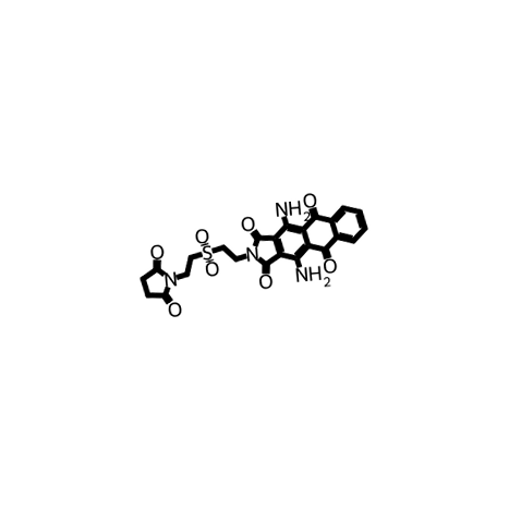 Nc1c2c(=O)c3ccccc3c(=O)c2c(N)c2c(=O)n(CCS(=O)(=O)CCN3C(=O)CCC3=O)c(=O)c12